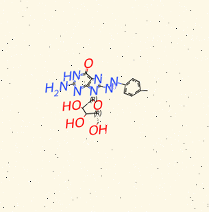 Cc1ccc(/N=N/c2nc3c(=O)[nH]c(N)nc3n2[C@@H]2O[C@H](CO)C(O)C2O)cc1